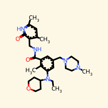 CCN(c1cc(CN2CCN(C)CC2)cc(C(=O)NCc2c(C)cc(C)[nH]c2=O)c1C)C1CCOCC1